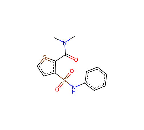 CN(C)C(=O)c1sccc1S(=O)(=O)Nc1ccccc1